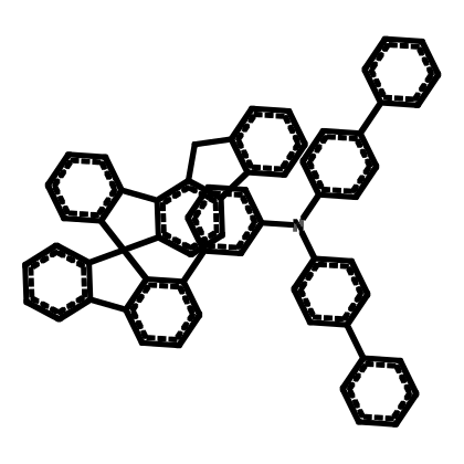 c1ccc(-c2ccc(N(c3ccc(-c4ccccc4)cc3)c3cccc(-c4cccc5c4C4(c6ccccc6-5)c5ccccc5-c5c4ccc4c5Cc5ccccc5-4)c3)cc2)cc1